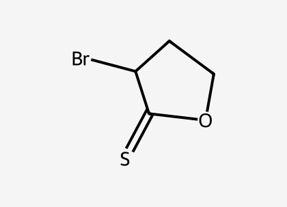 S=C1OCCC1Br